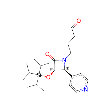 CC(C)[Si](O[C@H]1C(=O)N(CCCC=O)[C@H]1c1ccncc1)(C(C)C)C(C)C